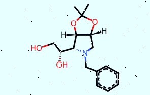 CC1(C)O[C@H]2[C@@H]([C@H](O)CO)N(Cc3ccccc3)C[C@H]2O1